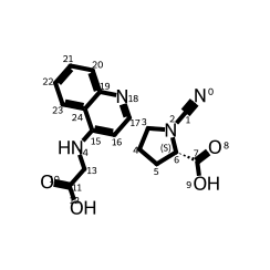 N#CN1CCC[C@H]1C(=O)O.O=C(O)CNc1ccnc2ccccc12